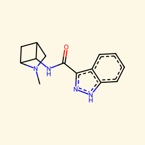 CN1CC2CC1C2NC(=O)c1n[nH]c2ccccc12